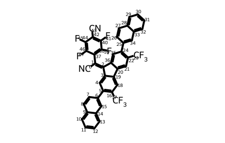 N#CC(=C1c2cc(-c3ccc4ccccc4c3)c(C(F)(F)F)cc2-c2cc(C(F)(F)F)c(-c3ccc4ccccc4c3)cc21)c1c(F)c(F)c(C#N)c(F)c1F